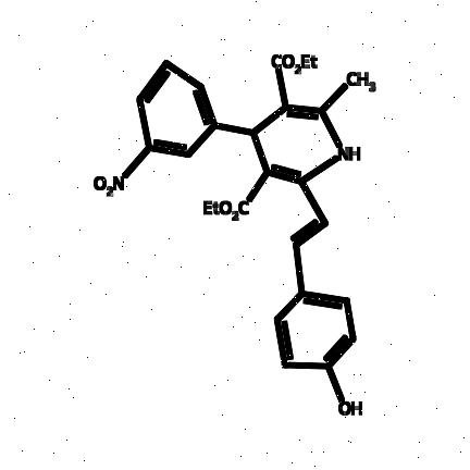 CCOC(=O)C1=C(C)NC(C=Cc2ccc(O)cc2)=C(C(=O)OCC)C1c1cccc([N+](=O)[O-])c1